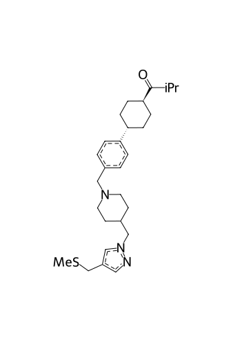 CSCc1cnn(CC2CCN(Cc3ccc([C@H]4CC[C@H](C(=O)C(C)C)CC4)cc3)CC2)c1